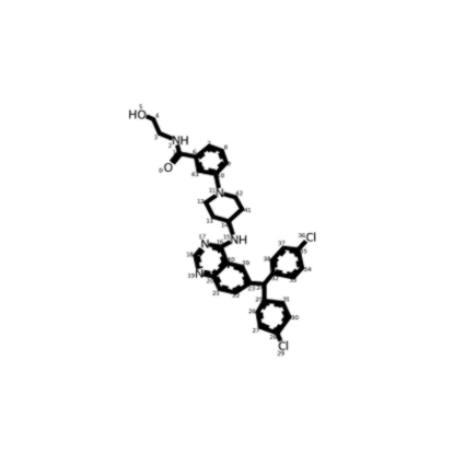 O=C(NCCO)c1cccc(N2CCC(Nc3ncnc4ccc(C(c5ccc(Cl)cc5)c5ccc(Cl)cc5)cc34)CC2)c1